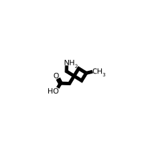 CC1CC(CN)(CC(=O)O)C1